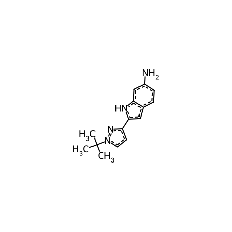 CC(C)(C)n1ccc(-c2cc3ccc(N)cc3[nH]2)n1